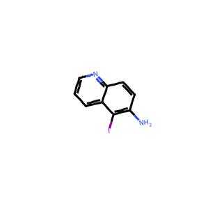 Nc1ccc2ncccc2c1I